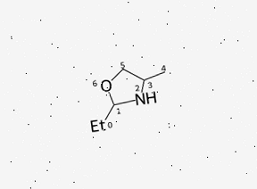 CCC1NC(C)CO1